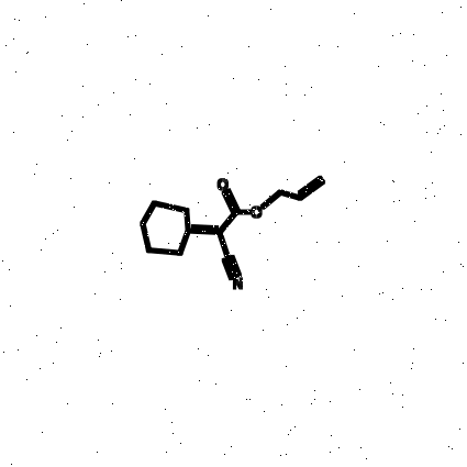 C=CCOC(=O)C(C#N)=C1CCCCC1